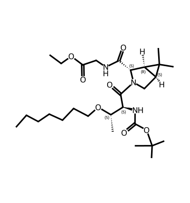 CCCCCCCO[C@@H](C)[C@H](NC(=O)OC(C)(C)C)C(=O)N1C[C@H]2[C@@H]([C@H]1C(=O)NCC(=O)OCC)C2(C)C